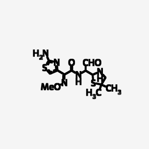 CON=C(C(=O)NC(C=O)C1NCC(C)(C)S1)c1csc(N)n1